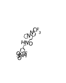 CS(=O)(=O)Nc1ccc(CCNC(=O)C=Cc2ccc(C(F)(F)F)nc2N2CCCCC2)cc1F